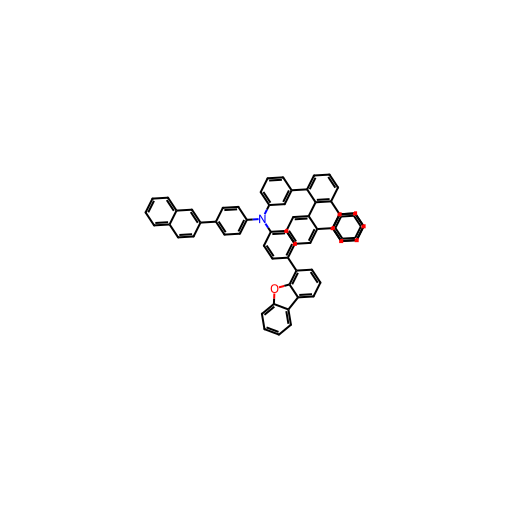 c1ccc(-c2ccccc2-c2c(-c3ccccc3)cccc2-c2cccc(N(c3ccc(-c4ccc5ccccc5c4)cc3)c3ccc(-c4cccc5c4oc4ccccc45)cc3)c2)cc1